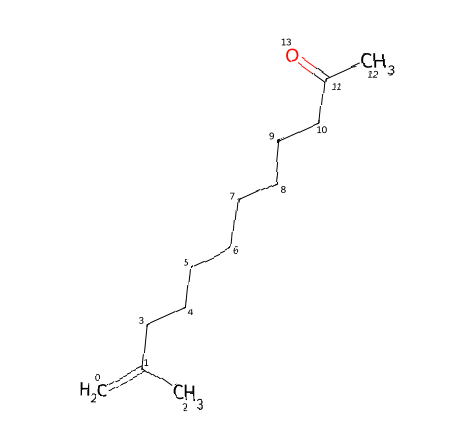 C=C(C)CCCCCCCCC(C)=O